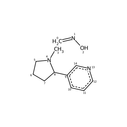 C=NO.CN1CCCC1c1cccnc1